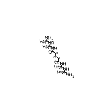 N=C(N)NC(=N)NC(=O)CCCC(=O)NC(=N)NC(=N)N